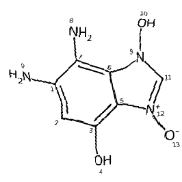 Nc1cc(O)c2c(c1N)n(O)c[n+]2[O-]